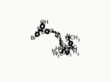 Cc1ncsc1-c1ccc([C@H](C)NC(=O)[C@@H]2CCCN2C(=O)[C@@H](NC(=O)COCCN2CCN(CCOc3ccc(Oc4c(-c5ccc(Br)cc5)sc5cc(O)ccc45)cc3)CC2)C(C)(C)C)cc1